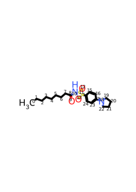 CCCCCCCCC(=O)NS(=O)(=O)c1ccc(N2CCCC2)cc1